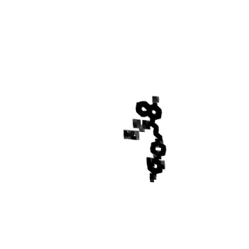 Cl.NC(CCCN1CCN(c2ncc(F)cn2)CC1)c1ccc(F)c2ccccc12